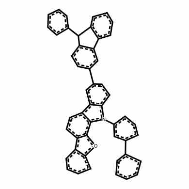 c1ccc(-c2cccc(-n3c4ccc(-c5ccc6c(c5)-c5ccccc5C6c5ccccc5)cc4c4ccc5c6ccccc6oc5c43)c2)cc1